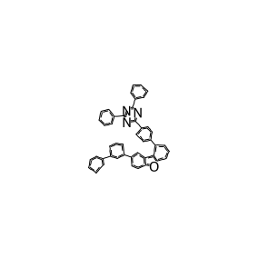 c1ccc(-c2cccc(-c3ccc4oc5cccc(-c6ccc(-c7nc(-c8ccccc8)nc(-c8ccccc8)n7)cc6)c5c4c3)c2)cc1